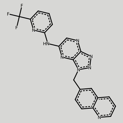 FC(F)(F)c1cccc(Nc2cnc3nnn(Cc4ccc5ncccc5c4)c3n2)n1